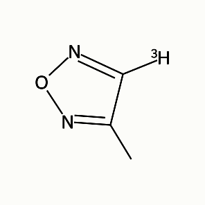 [3H]c1nonc1C